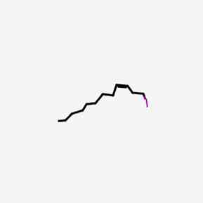 CCCCCCCC/C=C\CCI